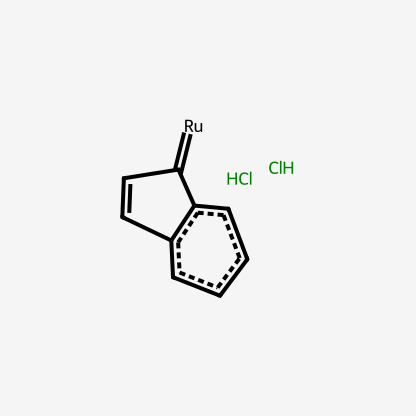 Cl.Cl.[Ru]=[C]1C=Cc2ccccc21